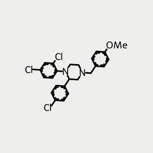 COc1ccc(CN2CCN(c3ccc(Cl)cc3Cl)C(c3ccc(Cl)cc3)C2)cc1